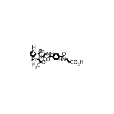 CC(C)C(C(=O)C(F)(F)F)N(C(=O)[C@@H]1CCCN1)C(=O)[C@@H](NC(=O)c1ccc(C(=O)NCCC(=O)O)cc1)C(C)C